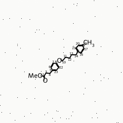 COC(=O)CCc1ccc(OCCCCCc2ccc(C)cc2)cc1